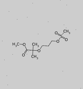 COC(=O)C(C)(C)OCCCOS(C)(=O)=O